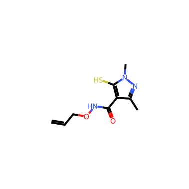 C=CCONC(=O)c1c(C)nn(C)c1S